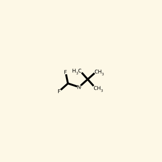 CC(C)(C)[N]C(F)F